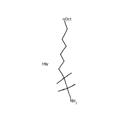 Br.CCCCCCCCCCCCCCC(C)(C)C(C)(C)N